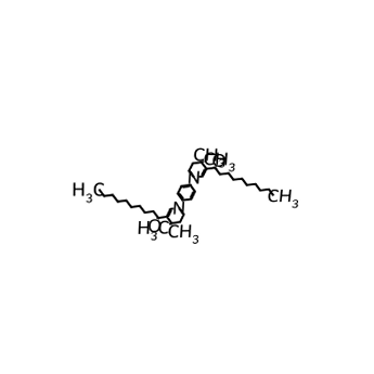 CCCCCCCCCC(=O)C1=CN(c2ccc(N3C=C(C(=O)CCCCCCCCC)C(C)(C)CC3)cc2)CCC1(C)C